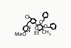 CC[C@H]1O[C@@H](c2ccc(Cl)c(Cc3ccc(OC)nn3)c2)[C@H](OCc2ccccc2)[C@@H](OCc2ccccc2)[C@@H]1C